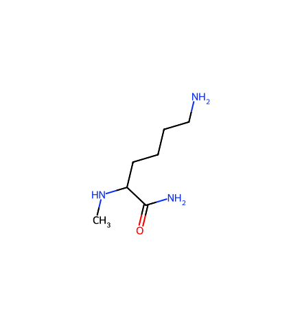 CNC(CCCCN)C(N)=O